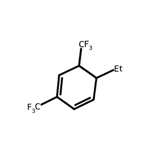 CCC1C=CC(C(F)(F)F)=CC1C(F)(F)F